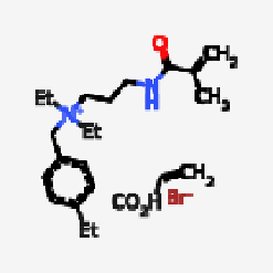 C=C(C)C(=O)NCCC[N+](CC)(CC)Cc1ccc(CC)cc1.C=CC(=O)O.[Br-]